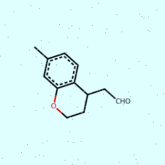 Cc1ccc2c(c1)OCCC2CC=O